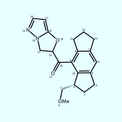 COC[C@H]1CCc2cc3c(c(C(=O)C4Cn5nccc5O4)c21)CCC3